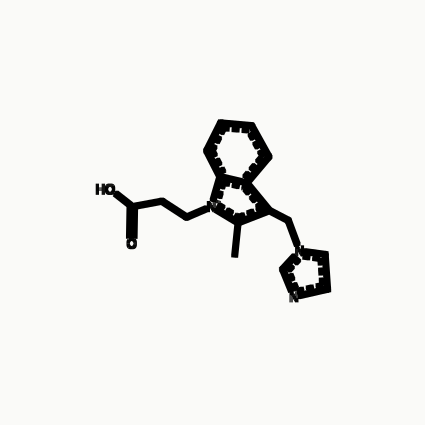 Cc1c(Cn2ccnc2)c2ccccc2n1CCC(=O)O